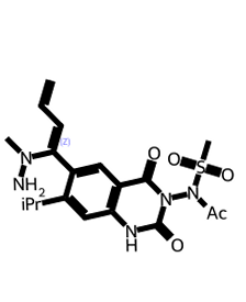 C=C/C=C(/c1cc2c(=O)n(N(C(C)=O)S(C)(=O)=O)c(=O)[nH]c2cc1C(C)C)N(C)N